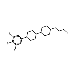 FCCCC1CCC(C2CCC(c3cc(F)c(F)c(F)c3)CC2)CC1